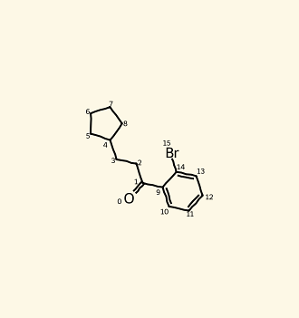 O=C(CCC1CCCC1)c1ccccc1Br